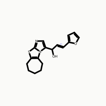 OC(/C=C/c1ccco1)c1cnc2sc3c(n12)CCCCC3